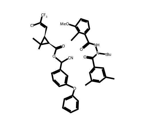 CC1(C)[C@H](C(=O)OC(C#N)c2cccc(Oc3ccccc3)c2)[C@@H]1/C=C(\Cl)C(F)(F)F.COc1cccc(C(=O)NN(C(=O)c2cc(C)cc(C)c2)C(C)(C)C)c1C